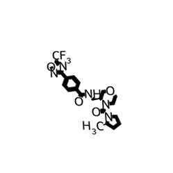 C[C@H]1CCCN1C(=O)N1CCOC[C@@H]1CNC(=O)c1ccc(-c2noc(C(F)(F)F)n2)cc1